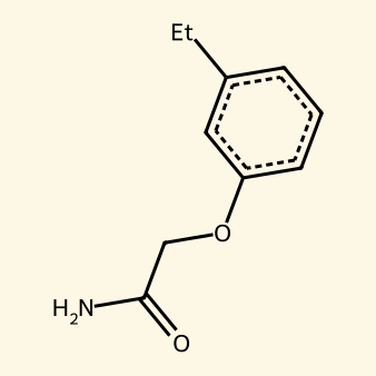 CCc1cccc(OCC(N)=O)c1